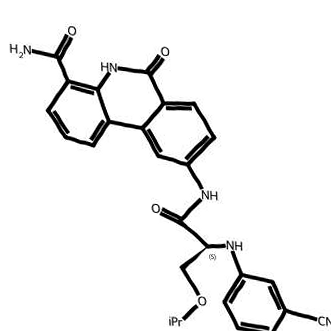 CC(C)OC[C@H](Nc1cccc(C#N)c1)C(=O)Nc1ccc2c(=O)[nH]c3c(C(N)=O)cccc3c2c1